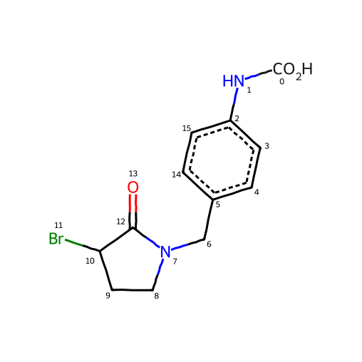 O=C(O)Nc1ccc(CN2CCC(Br)C2=O)cc1